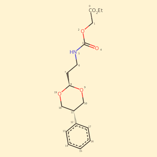 CCOC(=O)COC(=O)NCC[C@H]1OC[C@H](c2ccccc2)CO1